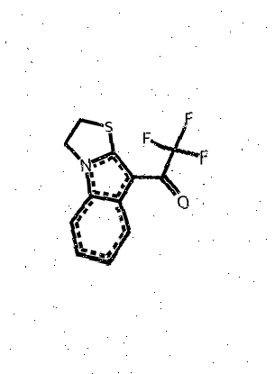 O=C(c1c2n(c3ccccc13)CCS2)C(F)(F)F